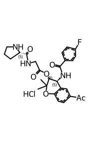 CC(=O)c1ccc2c(c1)[C@H](NC(=O)c1ccc(F)cc1)[C@@H](OC(=O)CNC(=O)[C@@H]1CCCN1)C(C)(C)O2.Cl